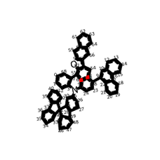 c1ccc(N(c2ccc(-c3cc4ccccc4c4ccccc34)cc2)c2ccc3c(c2)C2(c4ccccc4-c4ccccc42)c2ccccc2-3)c(-c2cccc3c2oc2cc4ccccc4cc23)c1